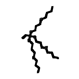 C=C[Si](OCCCOCCCC)(OCCCOCCCC)OCCCOCCCC